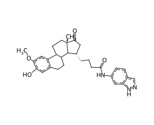 COc1cc2c(cc1O)CCC1C2CC[C@]2(C)C(=O)C[C@H](CCCC(=O)Nc3ccc4cn[nH]c4c3)C12